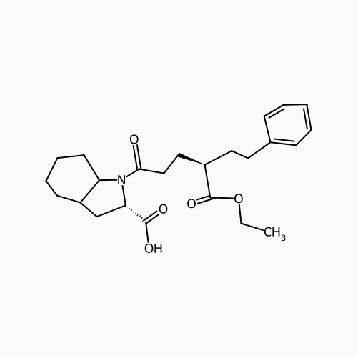 CCOC(=O)[C@@H](CCC(=O)N1C2CCCCC2C[C@H]1C(=O)O)CCc1ccccc1